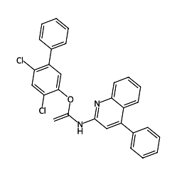 C=C(Nc1cc(-c2ccccc2)c2ccccc2n1)Oc1cc(-c2ccccc2)c(Cl)cc1Cl